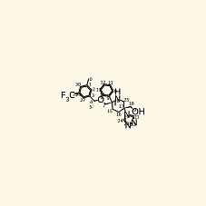 Cc1cc([C@@H](C)OC[C@]2(c3ccccc3)CC[C@@](CO)(n3cnnc3)CN2)cc(C(F)(F)F)c1